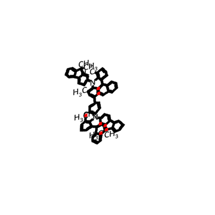 Cc1cc(-c2ccc(N(c3ccc4c(c3)C(C)(C)c3ccccc3-4)c3c(C)cccc3-c3cccc4ccccc34)c(C)c2)ccc1N(c1ccc2c(c1)C(C)(C)c1ccccc1-2)c1c(C)cccc1-c1cccc2ccccc12